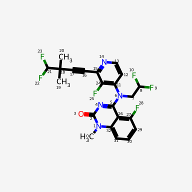 Cn1c(=O)nc(N(CC(F)F)c2ccnc(C#CC(C)(C)C(F)F)c2F)c2c(F)cccc21